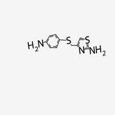 Nc1ccc(SCc2csc(N)n2)cc1